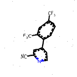 N#Cc1cc(-c2ccc(C(F)(F)F)cc2C(F)(F)F)ccn1